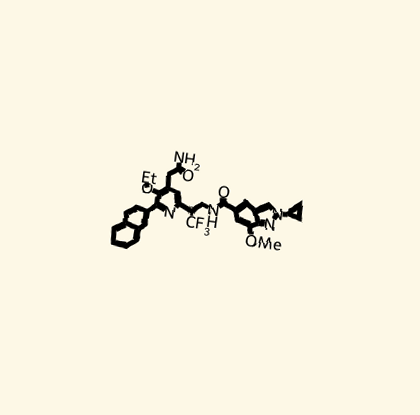 CCOc1c(CC(N)=O)cc([C@@H](CNC(=O)c2cc(OC)c3nn(C4CC4)cc3c2)C(F)(F)F)nc1-c1ccc2ccccc2c1